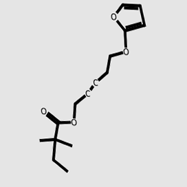 CCC(C)(C)C(=O)OCCCCCOc1ccco1